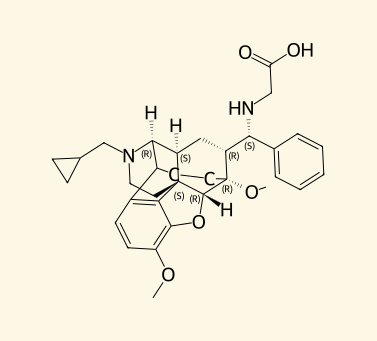 COc1ccc2c3c1O[C@H]1[C@@]4(OC)CCC2[C@@H]2[C@@H](C[C@@H]4[C@H](NCC(=O)O)c4ccccc4)[C@@]31CCN2CC1CC1